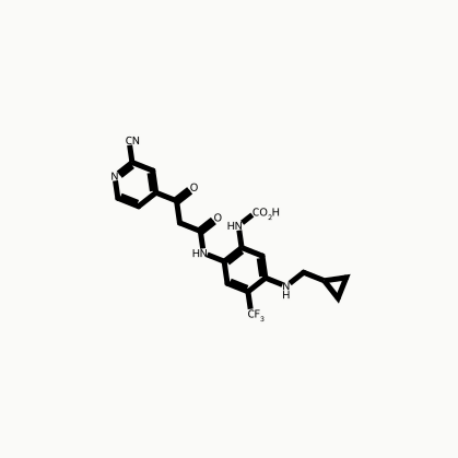 N#Cc1cc(C(=O)CC(=O)Nc2cc(C(F)(F)F)c(NCC3CC3)cc2NC(=O)O)ccn1